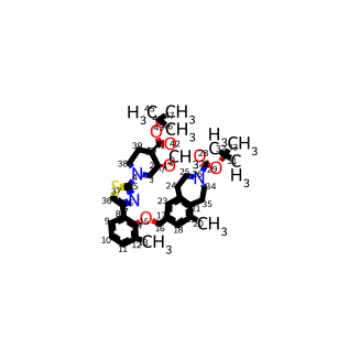 CO[C@H]1CN(c2nc(-c3cccc(C)c3OCc3cc(C)c4c(c3)CCN(C(=O)OC(C)(C)C)CC4)cs2)CC[C@H]1C(=O)OC(C)(C)C